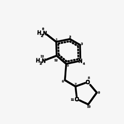 Nc1ccnc(CC2OCCO2)c1N